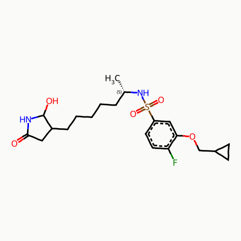 C[C@@H](CCCCCC1CC(=O)NC1O)NS(=O)(=O)c1ccc(F)c(OCC2CC2)c1